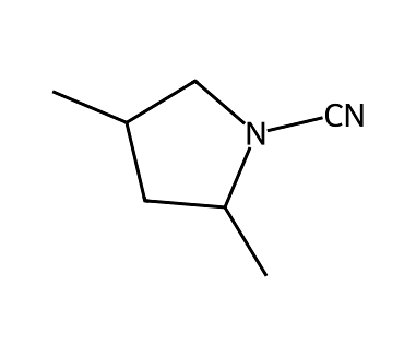 CC1CC(C)N(C#N)C1